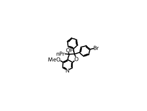 CCCC1(O)c2c(OC)cncc2OC1(c1ccccc1)c1ccc(Br)cc1